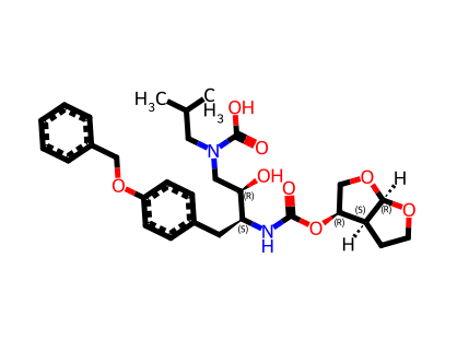 CC(C)CN(C[C@@H](O)[C@H](Cc1ccc(OCc2ccccc2)cc1)NC(=O)O[C@H]1CO[C@H]2OCC[C@H]21)C(=O)O